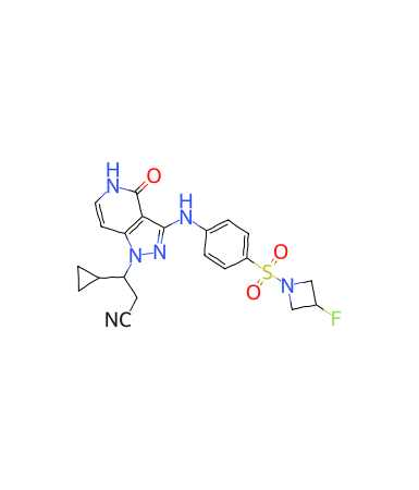 N#CCC(C1CC1)n1nc(Nc2ccc(S(=O)(=O)N3CC(F)C3)cc2)c2c(=O)[nH]ccc21